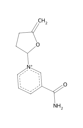 C=C1CCC([n+]2cccc(C(N)=O)c2)O1